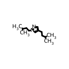 CC(C)CCc1cnn(CCC(C)C)c1